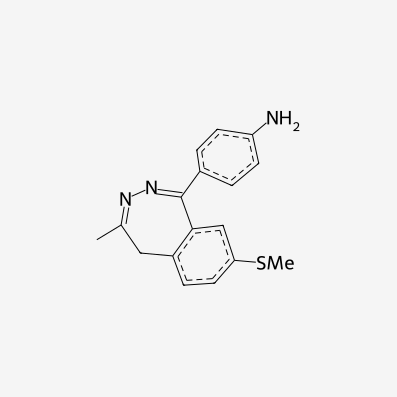 CSc1ccc2c(c1)C(c1ccc(N)cc1)=NN=C(C)C2